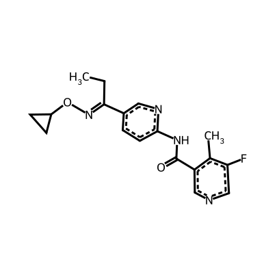 CCC(=NOC1CC1)c1ccc(NC(=O)c2cncc(F)c2C)nc1